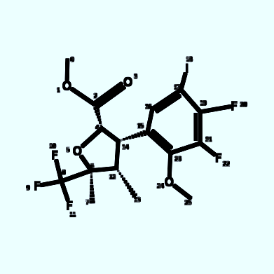 COC(=O)[C@H]1O[C@](C)(C(F)(F)F)[C@@H](C)[C@H]1c1cc(I)c(F)c(F)c1OC